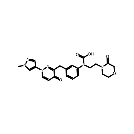 Cn1cc(-n2ccc(=O)c(Cc3cccc(N(CCN4CCOCC4=O)C(=O)O)c3)n2)cn1